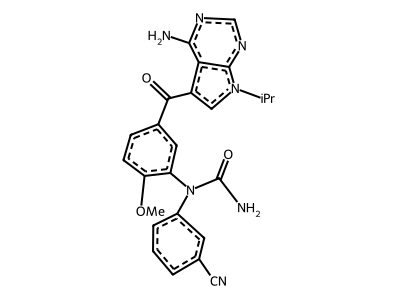 COc1ccc(C(=O)c2cn(C(C)C)c3ncnc(N)c23)cc1N(C(N)=O)c1cccc(C#N)c1